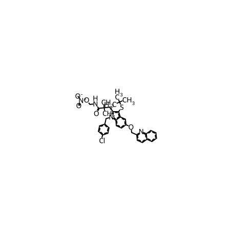 CC(C)(C)Sc1c(CC(C)(C)C(=O)NCO[N+](=O)[O-])n(Cc2ccc(Cl)cc2)c2ccc(OCc3ccc4ccccc4n3)cc12